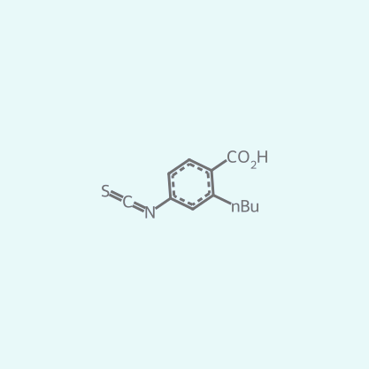 CCCCc1cc(N=C=S)ccc1C(=O)O